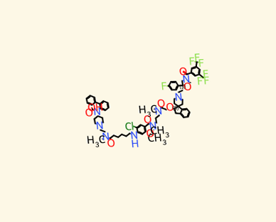 COc1cc(NCCCCCC(=O)N(C)CCN2CCC(N(C(=O)O)c3ccccc3-c3ccccc3)CC2)c(Cl)cc1C(=O)N(C)CCCN(C)C(=O)CO[C@H]1Cc2ccccc2C12CCN(CC[C@]1(c3ccc(F)cc3)CN(C(=O)c3cc(C(F)(F)F)cc(C(F)(F)F)c3)CO1)CC2